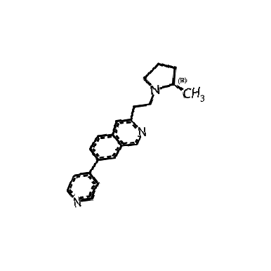 C[C@@H]1CCCN1CCc1cc2ccc(-c3ccncc3)cc2cn1